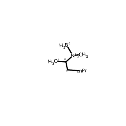 BN(C)C(C)CCCC